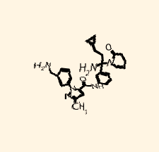 Cc1cc(C(=O)Nc2cccc(C(N)(CCC3CC3)n3ccccc3=O)c2)n(-c2cccc(CN)c2)n1